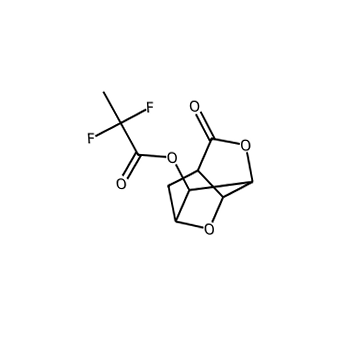 CC(F)(F)C(=O)OC1C2CC3C(=O)OC1C3O2